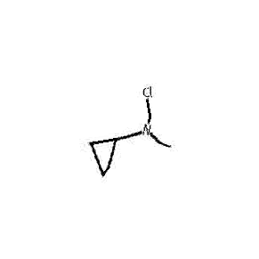 CN(Cl)C1CC1